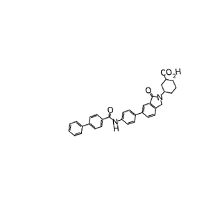 O=C(Nc1ccc(-c2ccc3c(c2)C(=O)N(C2CCCC(C(=O)O)C2)C3)cc1)c1ccc(-c2ccccc2)cc1